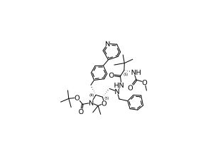 COC(=O)N[C@H](C(=O)NN(Cc1ccccc1)C[C@@H]1OC(C)(C)N(C(=O)OC(C)(C)C)[C@@H]1Cc1ccc(-c2cccnc2)cc1)C(C)(C)C